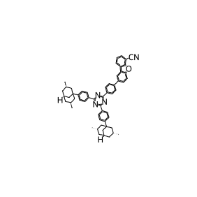 C[C@@H]1C[C@@H]2C[C@H](C)CC(c3ccc(-c4nc(-c5ccc(-c6ccc7oc8c(C#N)cccc8c7c6)cc5)nc(-c5ccc(C67C[C@H](C)C[C@H](C[C@H](C)C6)C7)cc5)n4)cc3)(C1)C2